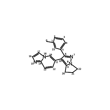 Cc1cccc(-c2nn3c(c2-c2ccc4nccn4c2)CCC3)c1